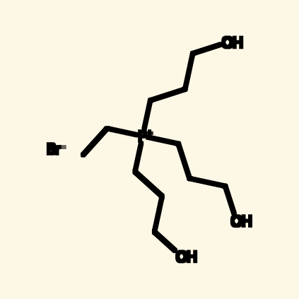 CC[P+](CCCO)(CCCO)CCCO.[Br-]